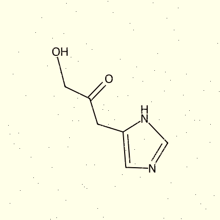 O=C(CO)Cc1cnc[nH]1